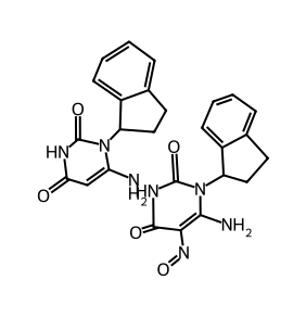 Nc1c(N=O)c(=O)[nH]c(=O)n1C1CCc2ccccc21.Nc1cc(=O)[nH]c(=O)n1C1CCc2ccccc21